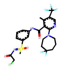 Cc1c(C(F)(F)F)cnc(N2CCCC(F)(F)CC2)c1C(=O)Nc1cccc(S(C)(=O)=NC(=O)CCl)c1